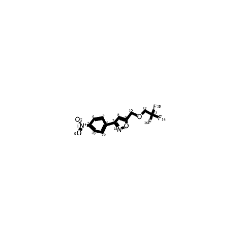 O=[N+]([O-])c1ccc(-c2cc(COCC(F)(F)F)on2)cc1